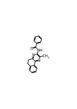 Cc1nc2c(nc1NC(=O)c1ccccc1)CCc1ccccc1-2